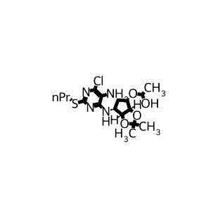 CCCSc1nc(Cl)c(N)c(N[C@@H]2C[C@H](OC(C)O)[C@H]3OC(C)(C)O[C@H]32)n1